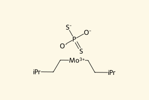 CC(C)C[CH2][Mo+3][CH2]CC(C)C.[O-]P([O-])(=S)[S-]